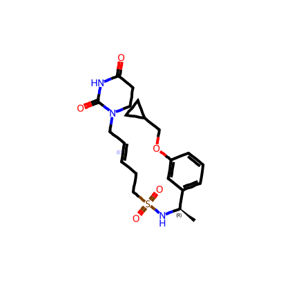 C[C@@H](NS(=O)(=O)CC/C=C/CN1CCC(=O)NC1=O)c1cccc(OCC2CC2)c1